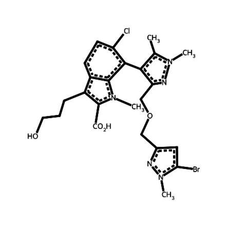 Cc1c(-c2c(Cl)ccc3c(CCCO)c(C(=O)O)n(C)c23)c(COCc2cc(Br)n(C)n2)nn1C